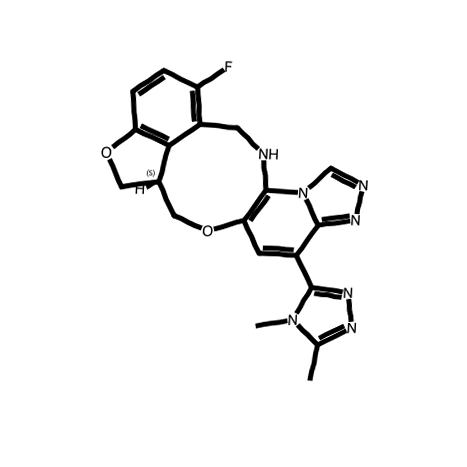 Cc1nnc(-c2cc3c(n4cnnc24)NCc2c(F)ccc4c2[C@@H](CO4)CO3)n1C